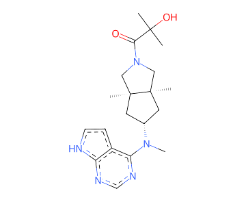 CN(c1ncnc2[nH]ccc12)[C@@H]1C[C@@]2(C)CN(C(=O)C(C)(C)O)C[C@@]2(C)C1